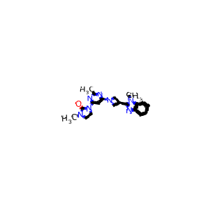 Cc1nc(N2CC(c3nc4ccccc4n3C)C2)cc(N2CCN(C)C2=O)n1